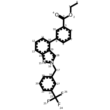 CCOC(=O)c1cccc(-c2cccc3nn(Cc4cccc(C(F)(F)F)c4)cc23)c1